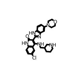 O=c1[nH]c2ccc(Cl)cc2c(NCC2CCCNC2)c1-c1nc2cc(N3CCOCC3)ccc2[nH]1